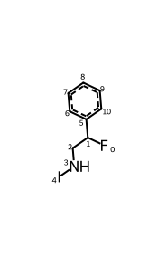 FC(CNI)c1ccccc1